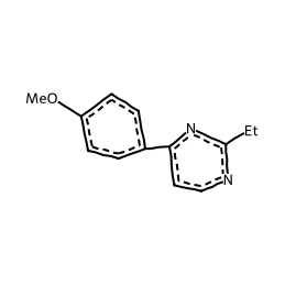 CCc1nccc(-c2ccc(OC)cc2)n1